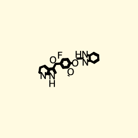 COc1cc(C(=O)c2c[nH]c3c2=CCCN=3)c(F)cc1OCC1=NC2C=CC=CC2N1